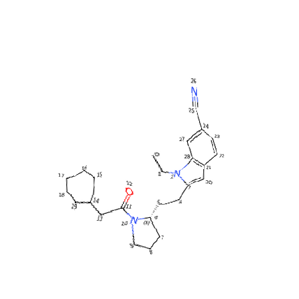 CCn1c(CC[C@@H]2CCCN2C(=O)CC2CCCCC2)cc2ccc(C#N)cc21